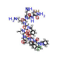 C=CCN(CC(=O)N(CC(=O)N(CCCCN)CC(=O)N(CCCCN)CC(=O)N[C@@H](CS)C(N)=O)[C@@H](C)c1ccccc1)C(=O)CN(Cc1ccco1)C(=O)CN(C(=O)CN(Cc1cccc(C(F)(F)F)c1)C(=O)CNCc1ccccc1)C1CCCC1